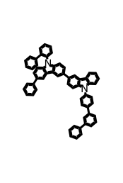 c1ccc(-c2cccc(-c3ccc(-n4c5ccccc5c5cc(-c6ccc7c(c6)c6cc(-c8ccccc8)ccc6n7-c6ccccc6-c6ccccc6)ccc54)cc3)c2)cc1